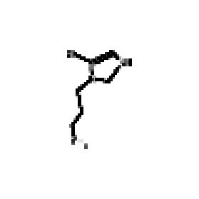 CCCCN1CNC=C1Cl